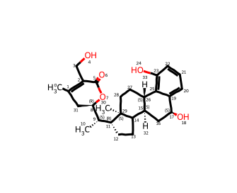 CC1=C(CO)C(=O)O[C@@H]([C@@H](C)[C@H]2CCC3[C@@H]4C[C@H](O)c5cccc(O)c5[C@H]4CC[C@@]32C)C1